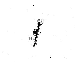 CCCOCC(O)CCCC(CCCCCCC(=O)O)S(C)(=O)=O